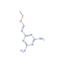 CCOC=Nc1nc(N)nc(N)n1